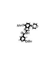 COc1ccc(N2CCOCC2)c2sc(NC(=O)c3ccnc(OCC(C)C)c3)nc12